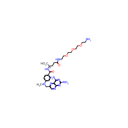 CN(Cc1cnc2nc(N)nc(N)c2n1)c1ccc(C(=O)N[C@H](CCC(=O)NCCOCCOCCOCCN)C(=O)O)cc1